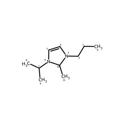 CCCN1C=CN(C(C)C)C1C